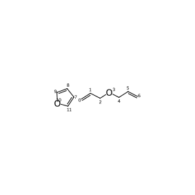 C=CCOCC=C.c1ccoc1